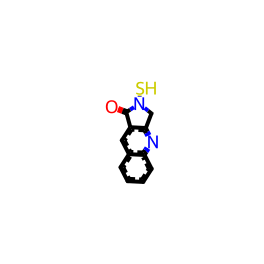 O=C1c2cc3ccccc3nc2CN1S